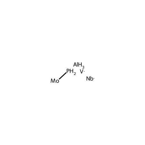 [AlH3].[Nb].[PH2][Mo].[V]